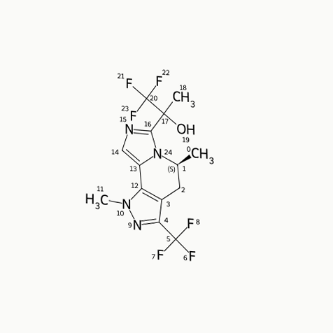 C[C@H]1Cc2c(C(F)(F)F)nn(C)c2-c2cnc(C(C)(O)C(F)(F)F)n21